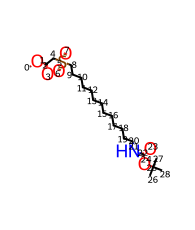 COC(=O)CS(=O)(=O)CCCCCCCCCCCCCNC(=O)OC(C)(C)C